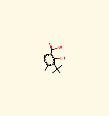 Cc1ccc(C(=O)O)c(O)c1C(C)(C)C